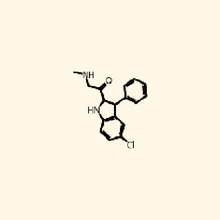 CNCC(=O)C1Nc2ccc(Cl)cc2C1c1ccccc1